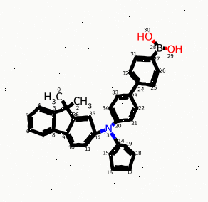 CC1(C)c2ccccc2-c2ccc(N(c3ccccc3)c3ccc(-c4ccc(B(O)O)cc4)cc3)cc21